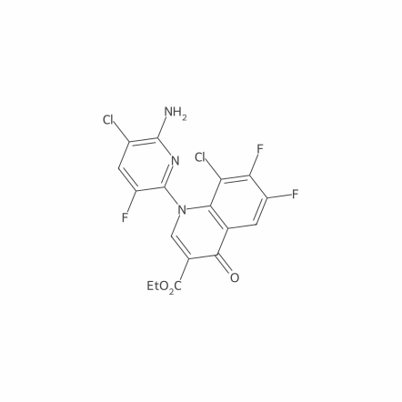 CCOC(=O)c1cn(-c2nc(N)c(Cl)cc2F)c2c(Cl)c(F)c(F)cc2c1=O